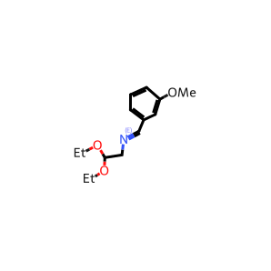 CCOC(C/N=C/c1cccc(OC)c1)OCC